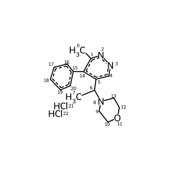 Cc1nncc(C(C)N2CCOCC2)c1-c1ccccc1.Cl.Cl